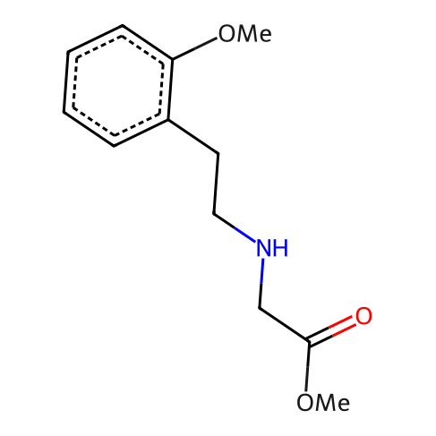 COC(=O)CNCCc1ccccc1OC